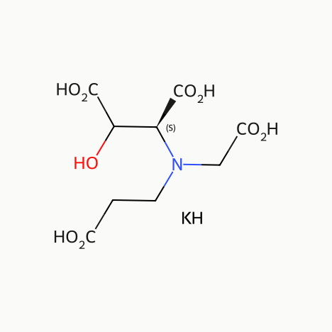 O=C(O)CCN(CC(=O)O)[C@H](C(=O)O)C(O)C(=O)O.[KH]